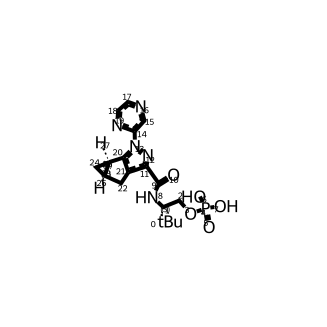 CC(C)(C)[C@@H](COP(=O)(O)O)NC(=O)c1nn(-c2cnccn2)c2c1C[C@H]1C[C@@H]21